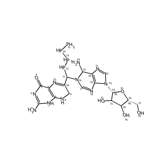 Nc1nc(=O)c2c([nH]1)NCC(C(PPPP)N1C=Nc3c(ncn3[C@@H]3O[C@H](CO)C(O)C3O)C1N)=N2